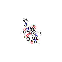 CCCN1CC(C(=O)N(C)C(C)C(=O)c2cc(CC(C)(C)N3CC(C(=O)N(C)C(C)C(=O)c4ccc5c(c4)OCO5)C3)c3c(c2)OCO3)C1